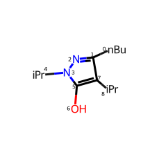 CCCCc1nn(C(C)C)c(O)c1C(C)C